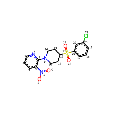 O=[N+]([O-])c1cccnc1N1CCC(S(=O)(=O)c2cccc(Cl)c2)CC1